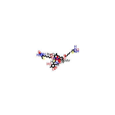 COc1cc2c(cc1OC(=O)CCCC[C@H]1CC3NC(=O)NC3S1)CCN[C@]21CS[C@@H]2c3c(O)c(C)c4c(c3[C@H](COC1=O)N1C2[C@H]2c3c(cc(C)c(OC)c3OC(=O)CCCCC3SCC5NC(=O)NC53)C[C@@H]([C@@H]1C#N)N2C)OCO4